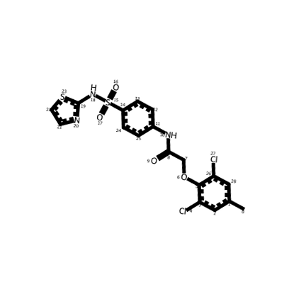 Cc1cc(Cl)c(OCC(=O)Nc2ccc(S(=O)(=O)Nc3nccs3)cc2)c(Cl)c1